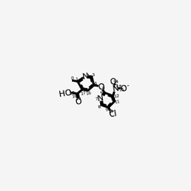 Cc1ncc(Oc2ncc(Cl)cc2[N+](=O)[O-])cc1C(=O)O